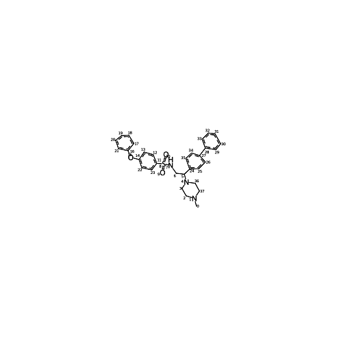 CN1CCN(C(CNS(=O)(=O)c2ccc(Oc3ccccc3)cc2)c2ccc(-c3ccccc3)cc2)CC1